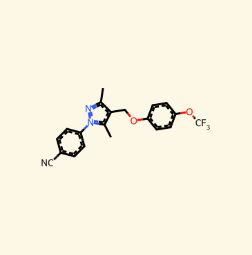 Cc1nn(-c2ccc(C#N)cc2)c(C)c1COc1ccc(OC(F)(F)F)cc1